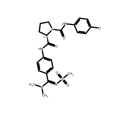 CN(C)/C(=N/S(C)(=O)=O)c1ccc(NC(=O)[C@H]2CCCN2C(=O)Nc2ccc(Cl)cc2)cc1